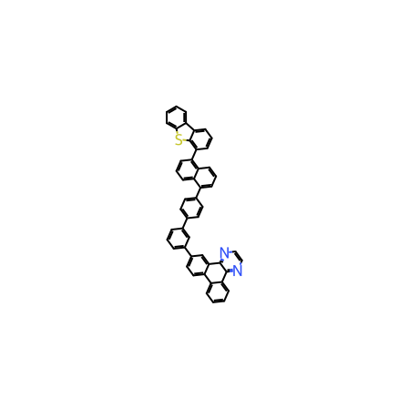 c1cc(-c2ccc(-c3cccc4c(-c5cccc6c5sc5ccccc56)cccc34)cc2)cc(-c2ccc3c4ccccc4c4nccnc4c3c2)c1